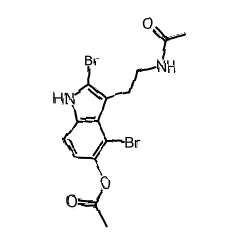 CC(=O)NCCc1c(Br)[nH]c2ccc(OC(C)=O)c(Br)c12